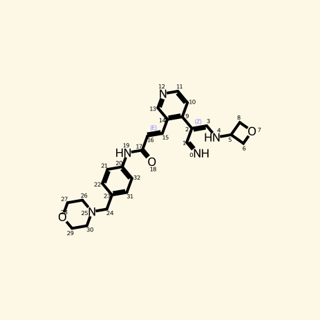 N=C/C(=C\NC1COC1)c1ccncc1/C=C/C(=O)Nc1ccc(CN2CCOCC2)cc1